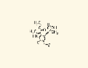 CCOC(=O)c1c(C)[nH]c2c(=O)n(CC3CC3)cc(C#CC(C)(C)O)c12